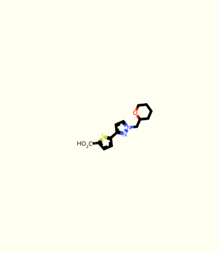 O=C(O)c1ccc(-c2ccn(CC3CCCCO3)n2)s1